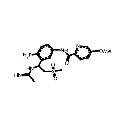 COc1ccc(C(=O)Nc2ccc(P)c(C(CS(C)(=O)=O)NC(C)=N)c2)nc1